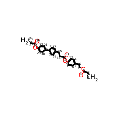 C=CC(=O)OCCc1ccc(OC(=O)CCc2ccc(-c3ccc(OC(=O)C=C)cc3)cc2)cc1